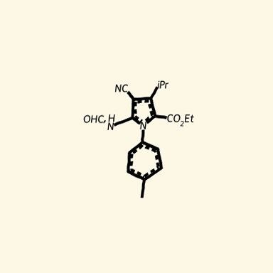 CCOC(=O)c1c(C(C)C)c(C#N)c(NC=O)n1-c1ccc(C)cc1